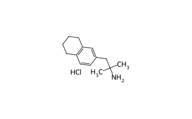 CC(C)(N)Cc1ccc2c(c1)CCCC2.Cl